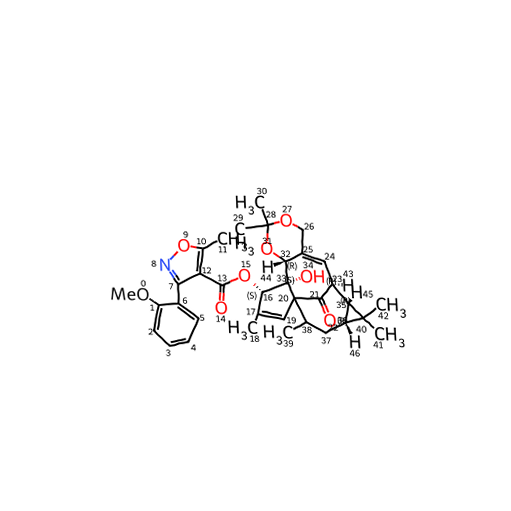 COc1ccccc1-c1noc(C)c1C(=O)O[C@H]1C(C)=CC23C(=O)[C@@H](C=C4COC(C)(C)O[C@H]4[C@]12O)[C@H]1[C@@H](CC3C)C1(C)C